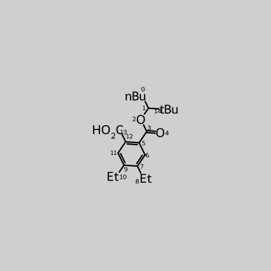 CCCCC(OC(=O)c1cc(CC)c(CC)cc1C(=O)O)C(C)(C)C